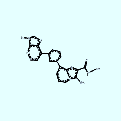 CCCNC(=O)c1nc2c(-c3cccc(-c4cnnc5c4ncn5CC)c3)cccn2c1N